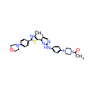 CC(=O)N1CCN(c2ccc(Nc3nccc(-c4sc(-c5ccc(N6CCOCC6)cc5)nc4C)n3)cc2)CC1